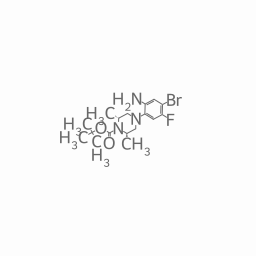 C[C@@H]1CN(c2cc(F)c(Br)cc2N)C[C@@H](C)N1C(=O)OC(C)(C)C